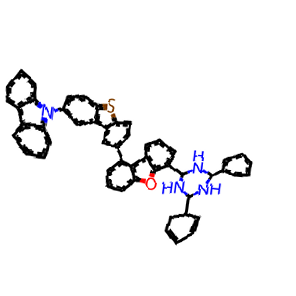 C1=CCC(C2NC(c3ccccc3)NC(c3cccc4c3oc3cccc(-c5ccc6sc7ccc(-n8c9ccccc9c9ccccc98)cc7c6c5)c34)N2)C=C1